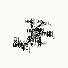 CCC(=O)N1CCC[C@H]1C(=O)N[C@@H](CC(C)C)C(=O)NCC(=O)N[C@@H](CSC)C(=O)N[C@@H](C)C(=O)NCC(=O)N[C@H](CCCNC(=N)N)C(=O)N[C@H](CCCNC(=N)N)C(=O)N[C@H](CCCNC(=N)N)C(=O)N[C@H](CCCNC(=N)N)C(=O)NC